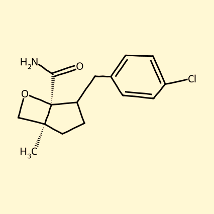 C[C@@]12CCC(Cc3ccc(Cl)cc3)[C@]1(C(N)=O)OC2